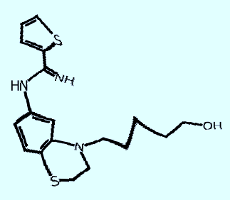 N=C(Nc1ccc2c(c1)N(CCCCCO)CCS2)c1cccs1